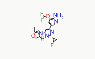 Nc1ncc(-c2cc(N3C[C@@H]4C[C@H]3CO4)nc([C@@H]3C[C@@H]3F)n2)cc1OC(F)F